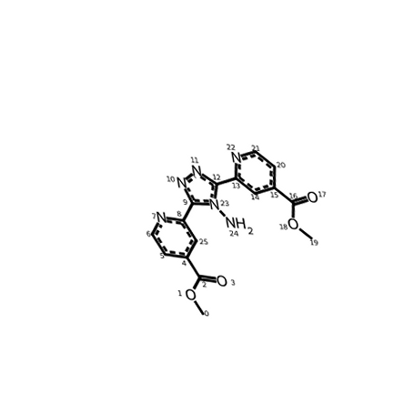 COC(=O)c1ccnc(-c2nnc(-c3cc(C(=O)OC)ccn3)n2N)c1